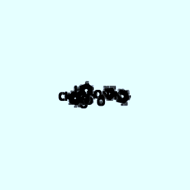 O=C(OC[C@H]1CCC[C@H]2c3cc(Cl)ccc3S(=O)(=O)N12)N1CCC(N2CCCCC2)C1